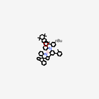 CCCCc1ccc(N2c3cc(-c4ccccc4C)cc4c3B(c3ccc5c(c32)C(C)(C)c2cc3c(cc2-5)C(C)(C)CCC3(C)C)N2c3ccccc3C3(c5ccccc5-c5ccccc53)c3cccc-4c32)c(-c2ccccc2)c1